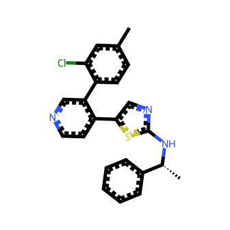 Cc1ccc(-c2cnccc2-c2cnc(N[C@H](C)c3ccccc3)s2)c(Cl)c1